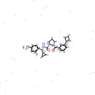 O=C(N[C@@H](c1ccc(C(F)(F)F)cc1F)C1CC1)[C@H]1CCCN1C(=O)c1cccc(C2CCC2)c1